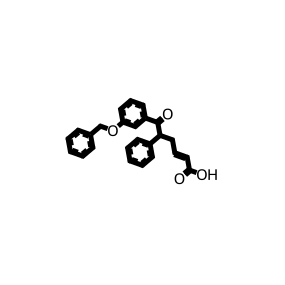 O=C(O)C=CCC(C(=O)c1cccc(OCc2ccccc2)c1)c1ccccc1